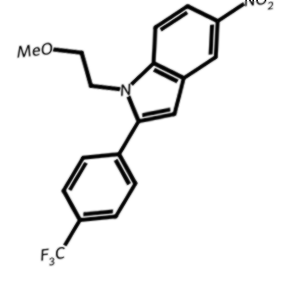 COCCn1c(-c2ccc(C(F)(F)F)cc2)cc2cc([N+](=O)[O-])ccc21